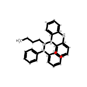 CCCCN(P(c1ccccc1)c1ccccc1)P1c2ccccc2Oc2ccccc21